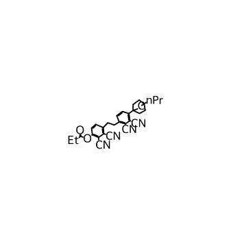 CCCC12CCC(c3ccc(CCc4ccc(OC(=O)CC)c(C#N)c4C#N)c(C#N)c3C#N)(CC1)CC2